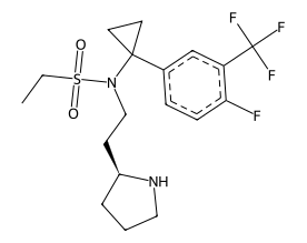 CCS(=O)(=O)N(CC[C@@H]1CCCN1)C1(c2ccc(F)c(C(F)(F)F)c2)CC1